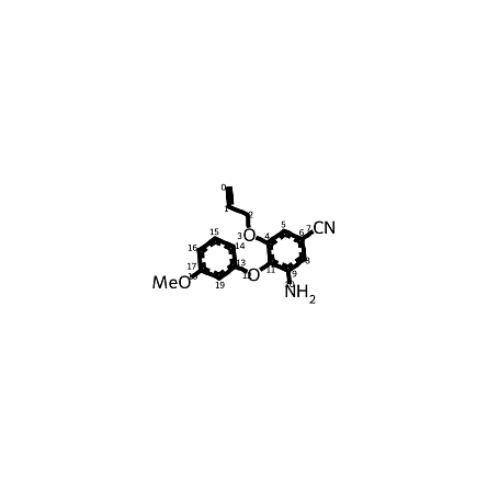 C=CCOc1cc(C#N)cc(N)c1Oc1cccc(OC)c1